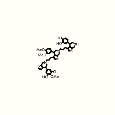 COc1ccc(C2CN(CCCc3csc4c3C(c3ccc(O)c(O)c3)CNC4)Cc3scc(CCCN4Cc5sccc5C(c5cc(O)c(OC)c(Cl)c5)C4)c32)cc1OC